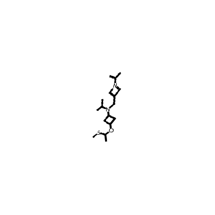 CSC(C)OC1CC(N(CC2CN(C(C)C)C2)C(C)C)C1